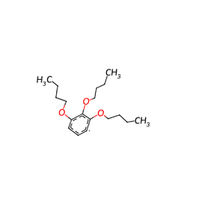 CCCCOc1[c]ccc(OCCCC)c1OCCCC